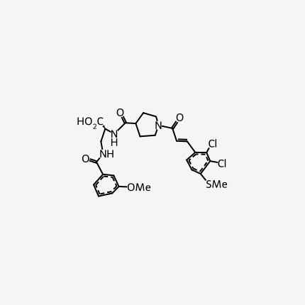 COc1cccc(C(=O)NC[C@H](NC(=O)C2CCN(C(=O)/C=C/c3ccc(SC)c(Cl)c3Cl)CC2)C(=O)O)c1